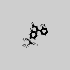 Cc1ccccc1-c1cc(=O)oc2cc(N(C)[C@@H](C)C(=O)O)ccc12